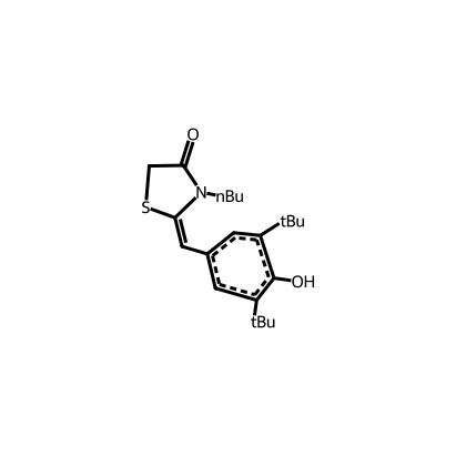 CCCCN1C(=O)CSC1=Cc1cc(C(C)(C)C)c(O)c(C(C)(C)C)c1